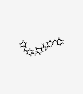 O=C(NC1CCN(Cc2ccccc2)CC1)c1ccc(CN2CCN(CC3CCCCC3)CC2)cc1